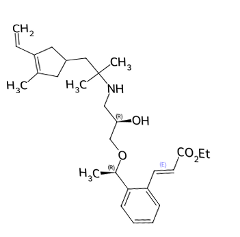 C=CC1=C(C)CC(CC(C)(C)NC[C@@H](O)CO[C@H](C)c2ccccc2/C=C/C(=O)OCC)C1